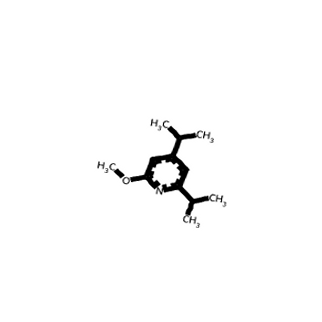 COc1cc(C(C)C)[c]c(C(C)C)n1